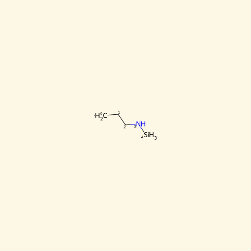 [CH2]CCN[SiH3]